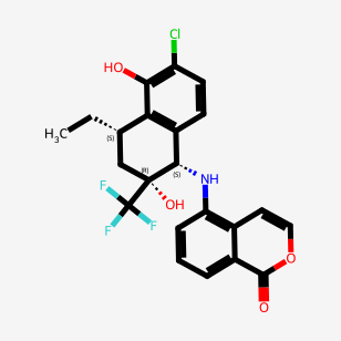 CC[C@H]1C[C@](O)(C(F)(F)F)[C@@H](Nc2cccc3c(=O)occc23)c2ccc(Cl)c(O)c21